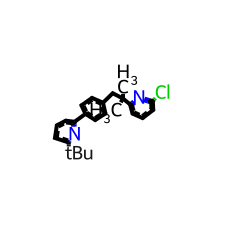 CC(C)(C)c1cccc(-c2ccc(CC(C)(C)c3cccc(Cl)n3)cc2)n1